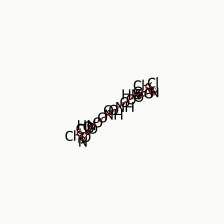 CN(C)[C@H]1Cc2c(Cl)cc(Cl)cc2[C@@H]1Oc1ccc(S(=O)(=O)NCCOCCOCCNCCOCC(=O)NCCOCCOCCNS(=O)(=O)c2ccc(O[C@H]3c4cc(Cl)cc(Cl)c4C[C@@H]3N(C)C)cc2)cc1